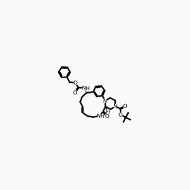 CC(C)(C)OC(=O)N1CCN2c3cccc(c3)[C@@H](NC(=O)OCc3ccccc3)CC/C=C/CCNC(=O)[C@H]2C1